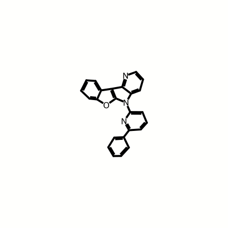 c1ccc(-c2cccc(-n3c4cccnc4c4c5ccccc5oc43)n2)cc1